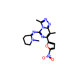 Cc1c(-c2ccc([N+](=O)[O-])o2)nc(N=C2CCCCN2C)n2c(C)nnc12